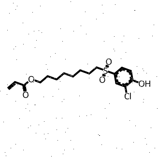 C=CC(=O)OCCCCCCCCS(=O)(=O)c1ccc(O)c(Cl)c1